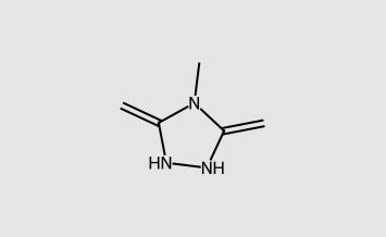 C=C1NNC(=C)N1C